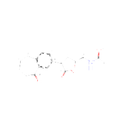 CC(=O)NC[C@@H]1CC(c2ccc3c(c2)C(=O)CCCC3)C(=O)O1